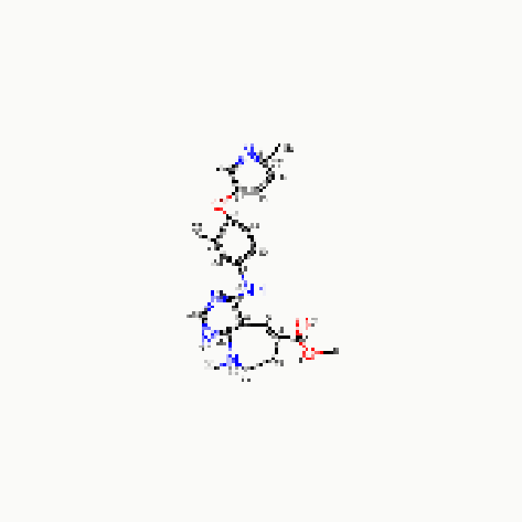 COC(=O)C1=Cc2c(Nc3ccc(Oc4ccc(C)nc4)c(C)c3)ncnc2N(C)CC1